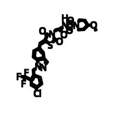 COC1CCN(S(=O)(=O)NC(=O)CN2C(=O)SC(=Cc3ccc4c(cnn4Cc4ccc(Cl)cc4C(F)(F)F)c3)C2=O)CC1